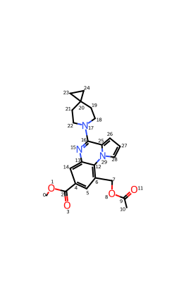 COC(=O)c1cc(COC(C)=O)c2c(c1)nc(N1CCC3(CC1)CC3)c1cccn12